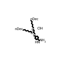 CCCCCCCCCCCCCCCCOCC(COc1ccc(C(=N)N)cc1)OCCCCCCCCCCCCCCCC.Cl